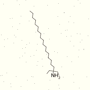 CCCCCCCCCCCCCCCCCCC(N)(CC)CC